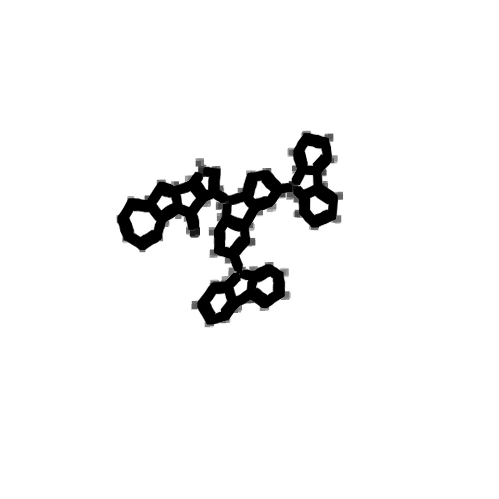 O=C1c2c3cccccc-3cc2-c2scc(-n3c4ccc(-n5c6ccccc6c6ccccc65)cc4c4cc(-n5c6ccccc6c6ccccc65)ccc43)c21